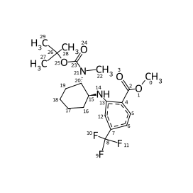 COC(=O)c1ccc(C(F)(F)F)cc1N[C@H]1CCCC[C@@H]1N(C)C(=O)OC(C)(C)C